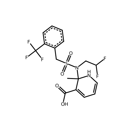 CC1(N(CC(F)F)S(=O)(=O)Cc2ccccc2C(F)(F)F)NC=CC=C1C(=O)O